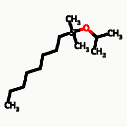 CCCCCCCC[Si](C)(C)OC(C)C